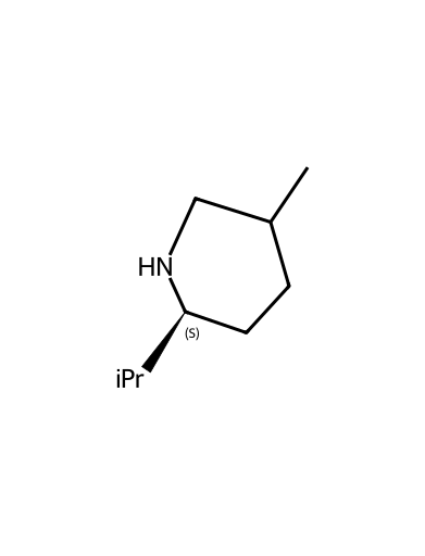 CC1CC[C@@H](C(C)C)NC1